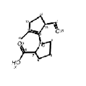 CC1=C(N2CCCC2C(=O)O)C(C=O)CC1